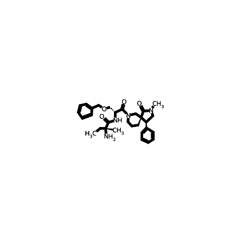 CC[C@@](C)(N)C(=O)N[C@H](COCc1ccccc1)C(=O)N1CCC[C@@]2(C1)C(=O)N(C)C[C@H]2c1ccccc1